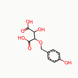 O=C(O)C(O)C(OCc1ccc(O)cc1)C(=O)O